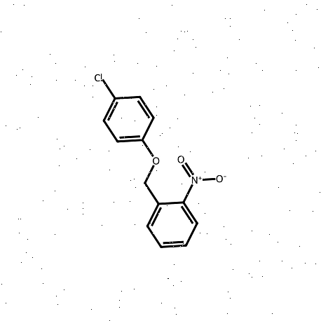 O=[N+]([O-])c1ccccc1COc1ccc(Cl)cc1